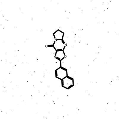 O=c1c2nc(-c3ccc4ccccc4c3)oc2nc2n1CCC2